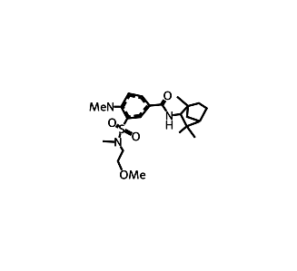 CNc1ccc(C(=O)NC2C3(C)CCC(C3)C2(C)C)cc1S(=O)(=O)N(C)CCOC